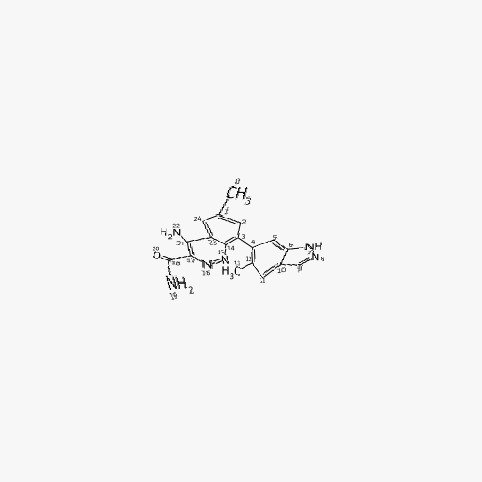 Cc1cc(-c2cc3[nH]ncc3cc2C)c2nnc(C(N)=O)c(N)c2c1